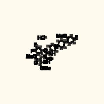 COCC1=C(C(=O)OC)[C@H](c2ccc(F)c(F)c2)N(C(=O)N[C@@H]2CCN(C3CCC(c4ccc(F)cc4OC)CC3)C2)C(=O)N1.Cl